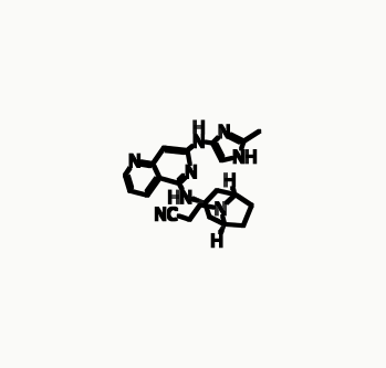 Cc1nc(Nc2cc3ncccc3c(N[C@@H]3C[C@H]4CC[C@@H](C3)N4CCC#N)n2)c[nH]1